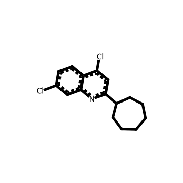 Clc1ccc2c(Cl)cc(C3CCCCCC3)nc2c1